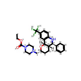 CCOC(=O)N1CCN(C[C@H]2CC[C@@H]3[C@H](O2)c2cc(C(F)(F)F)ccc2N[C@H]3C2C=CC=CC2)CC1